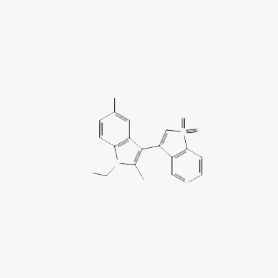 Cc1c(C2=CS(=O)(=O)c3ccncc32)c2cc(F)ccc2n1CC(=O)O